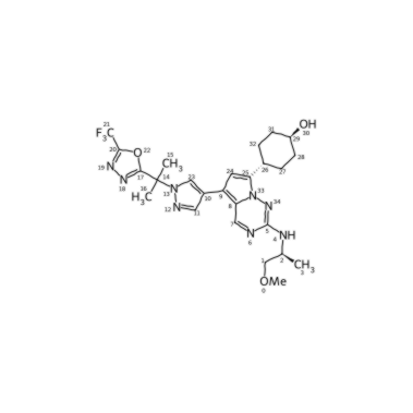 COC[C@H](C)Nc1ncc2c(-c3cnn(C(C)(C)c4nnc(C(F)(F)F)o4)c3)cc([C@H]3CC[C@H](O)CC3)n2n1